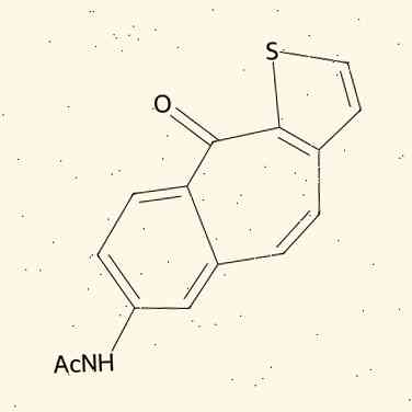 CC(=O)Nc1ccc2c(=O)c3sccc3ccc2c1